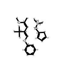 COC(C)=CC(=COc1ccccc1)C(C)(C)C.C[SiH](C)[Ti][C]1=CC=CC1